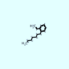 C=Cc1ccccc1CCCCCCC